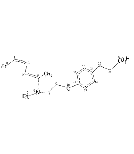 CC/C=C\C=C(/C)N(CC)CCOc1ccc(CCC(=O)O)cc1